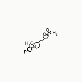 CC(=O)[C@H]1CCC(CCC2CCCN(c3ccc(F)cc3)C(C)C2)CO1